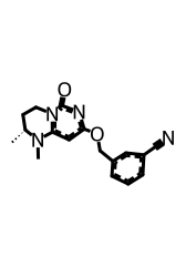 C[C@@H]1CCn2c(cc(OCc3cccc(C#N)c3)nc2=O)N1C